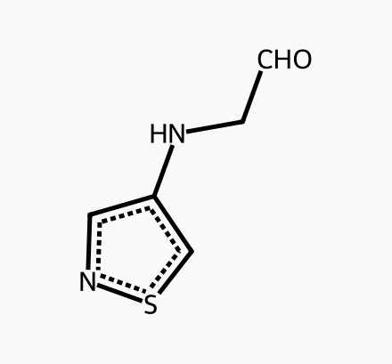 O=CCNc1cnsc1